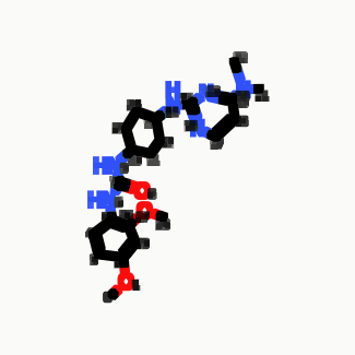 COc1ccc(NC(=O)NC2CCC(Nc3nccc(N(C)C)n3)CC2)c(OC)c1